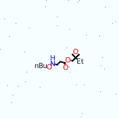 CCCCONCCC(=O)OCC1(CC)COC1